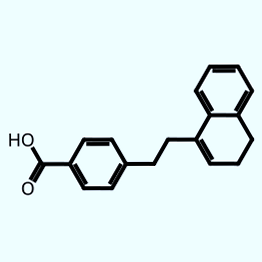 O=C(O)c1ccc(CCC2=CCCc3ccccc32)cc1